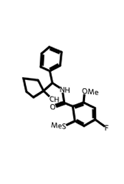 COc1cc(F)cc(SC)c1C(=O)NC(c1ccccc1)C1(C)CCCC1